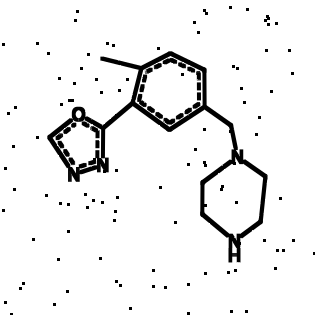 Cc1ccc(CN2CCNCC2)cc1-c1nnco1